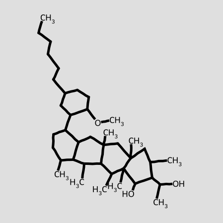 CCCCCCC1CCC(OC)C(C2CCC(C)C3C(C)C4C(C)C5(C)C(O)C(C(C)O)C(C)CC5(C)CC4(C)CC23)C1